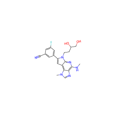 CNc1nc2c(cc(-c3cc(F)cc(C#N)c3)n2CCC(O)CO)c2c1ncn2C